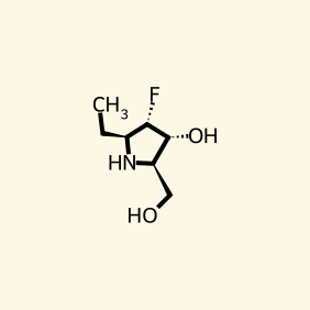 CC[C@@H]1N[C@H](CO)[C@@H](O)[C@H]1F